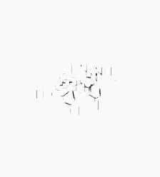 Cc1cc(C)c(S(=O)(=O)[O-])c(C)c1.Nc1sc2cc(Cl)ccc2[n+]1N